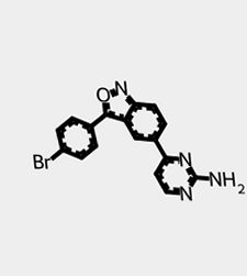 Nc1nccc(-c2ccc3noc(-c4ccc(Br)cc4)c3c2)n1